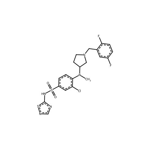 CN(c1ccc(S(=O)(=O)Nc2ncns2)cc1Cl)C1CCN(Cc2cc(F)ccc2F)C1